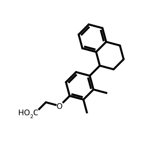 Cc1c(OCC(=O)O)ccc(C2CCCc3ccccc32)c1C